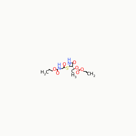 C=CCOC(=O)NCC(=O)S[C@H]1NC(=O)[C@@H]1C(C)OC(=O)OCC=C